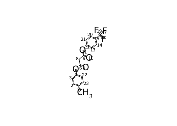 Cc1ccc(OC(=O)CC(=O)Oc2ccc(C(F)(F)F)cc2)cc1